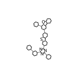 c1ccc(-c2cccc(-c3nc(-c4ccccc4)nc(-c4ccc5c(c4)sc4cc(-c6cc(-c7ccccc7)c7oc8ccccc8c7c6)ccc45)n3)c2)cc1